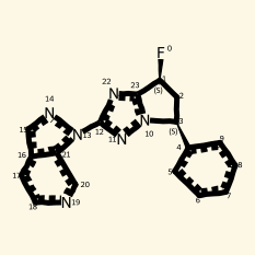 F[C@H]1C[C@@H](c2ccccc2)n2nc(-n3ncc4ccncc43)nc21